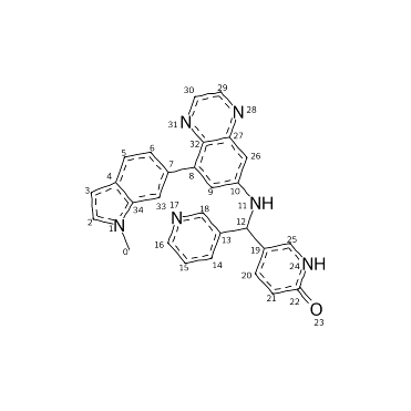 Cn1ccc2ccc(-c3cc(NC(c4cccnc4)c4ccc(=O)[nH]c4)cc4nccnc34)cc21